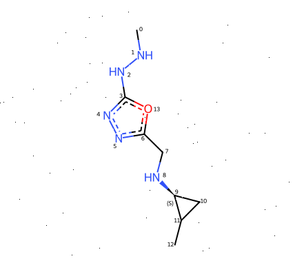 CNNc1nnc(CN[C@H]2CC2C)o1